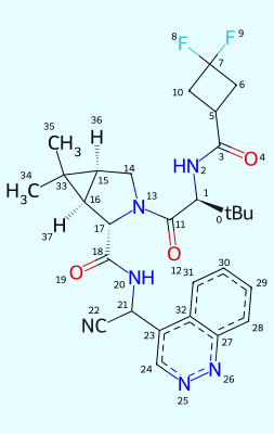 CC(C)(C)[C@H](NC(=O)C1CC(F)(F)C1)C(=O)N1C[C@H]2[C@@H]([C@H]1C(=O)NC(C#N)c1cnnc3ccccc13)C2(C)C